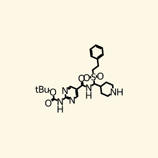 CC(C)(C)OC(=O)Nc1ncc(C(=O)NC(C2CCNCC2)S(=O)(=O)CCc2ccccc2)cn1